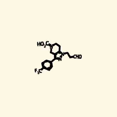 O=CCCn1nc(-c2ccc(C(F)(F)F)cc2)c2c1CCN(C(=O)O)C2